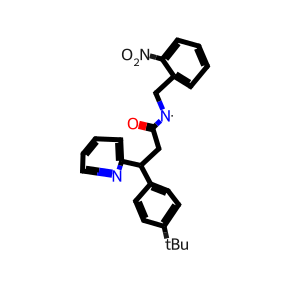 CC(C)(C)c1ccc(C(CC(=O)[N]Cc2ccccc2[N+](=O)[O-])c2ccccn2)cc1